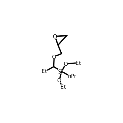 CCC[Si](OCC)(OCC)C(CC)OCC1CO1